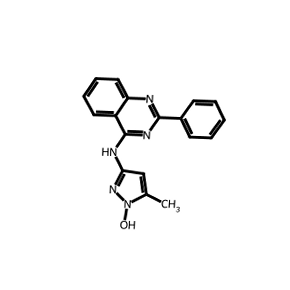 Cc1cc(Nc2nc(-c3ccccc3)nc3ccccc23)nn1O